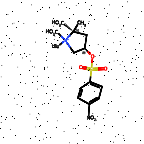 CC(C)(C)[N+]1(C(=O)O)C[C@H](OS(=O)(=O)c2ccc([N+](=O)[O-])cc2)C[C@@]1(C)C(=O)O